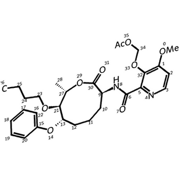 COc1ccnc(C(=O)N[C@H]2CCC[C@H](Oc3ccccc3)[C@@H](OCCCC(F)(F)F)[C@H](C)OC2=O)c1OCOC(C)=O